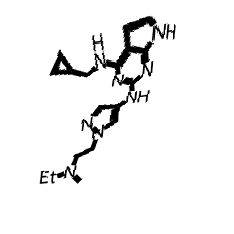 CCN(C)CCn1cc(Nc2nc(NCC3CC3)c3cc[nH]c3n2)cn1